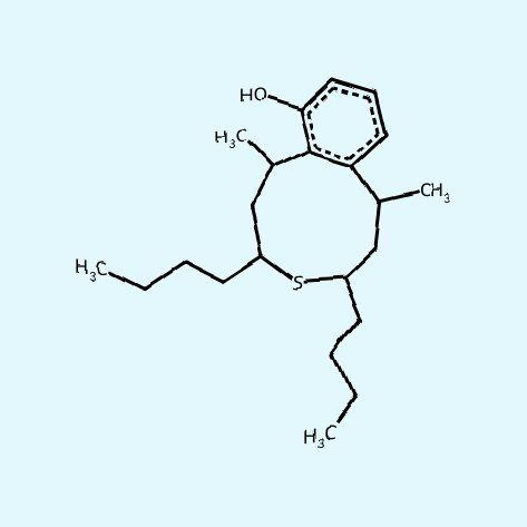 CCCCC1CC(C)c2cccc(O)c2C(C)CC(CCCC)S1